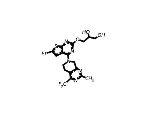 CCc1cc2c(N3CCc4c(nc(C)nc4C(F)(F)F)C3)nc(OCC(O)CO)nc2s1